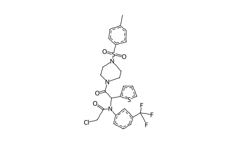 Cc1ccc(S(=O)(=O)N2CCN(C(=O)C(c3cccs3)N(C(=O)CCl)c3cccc(C(F)(F)F)c3)CC2)cc1